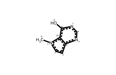 Cn1ccc2ncnc(O)c21